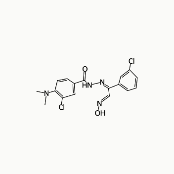 CN(C)c1ccc(C(=O)NN=C(C=NO)c2cccc(Cl)c2)cc1Cl